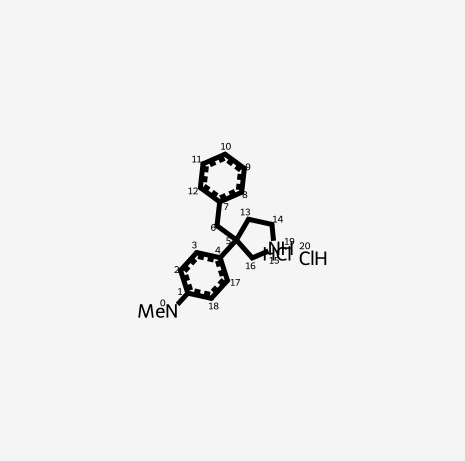 CNc1ccc(C2(Cc3ccccc3)CCNC2)cc1.Cl.Cl